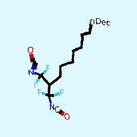 CCCCCCCCCCCCCCCCCC(C(F)(F)N=C=O)C(F)(F)N=C=O